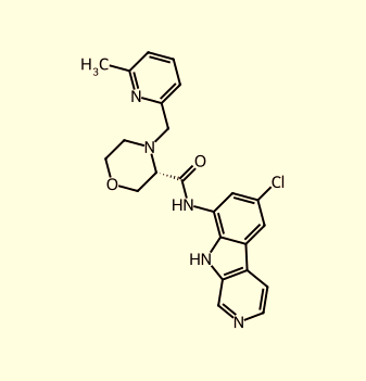 Cc1cccc(CN2CCOC[C@H]2C(=O)Nc2cc(Cl)cc3c2[nH]c2cnccc23)n1